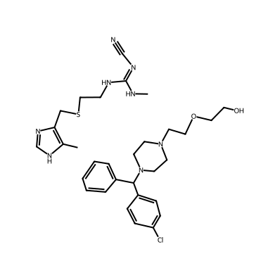 CN/C(=N/C#N)NCCSCc1nc[nH]c1C.OCCOCCN1CCN(C(c2ccccc2)c2ccc(Cl)cc2)CC1